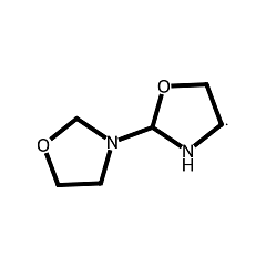 [CH]1COC(N2CCOC2)N1